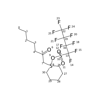 CCCCCC(=O)CS1(OS(=O)(=O)C(F)(F)C(F)(F)C(F)(F)C(F)(F)F)CCCCC1